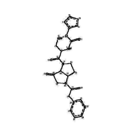 CC(C)(C)CC(NC(=O)Oc1ccsc1)C(=O)N1CCC2C1C(=O)CN2C(=O)Cc1cccnc1